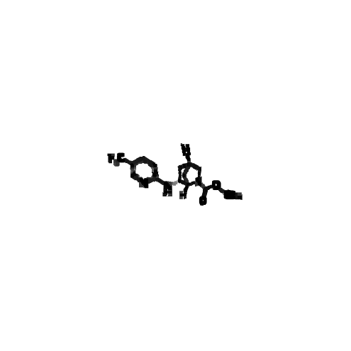 CC(C)(C)OC(=O)N1C[C@H]2C[C@@H](Nc3ccc(C(F)(F)F)cn3)[C@@H]1C2